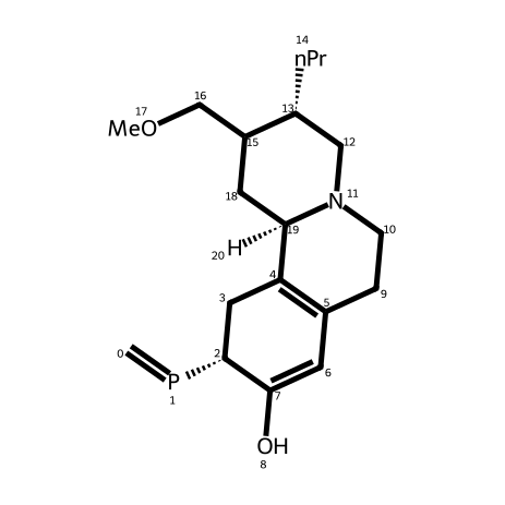 C=P[C@@H]1CC2=C(C=C1O)CCN1C[C@@H](CCC)C(COC)C[C@H]21